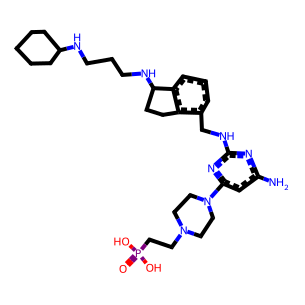 Nc1cc(N2CCN(CCP(=O)(O)O)CC2)nc(NCc2cccc3c2CCC3NCCCNC2CCCCC2)n1